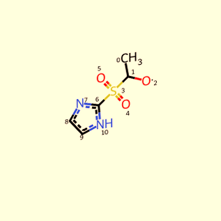 CC([O])S(=O)(=O)c1ncc[nH]1